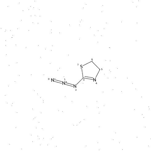 [N-]=[N+]=NC1=NCCS1